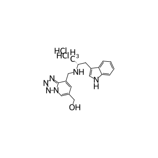 C[C@H](Cc1c[nH]c2ccccc12)NCc1cc(CO)cn2nnnc12.Cl.Cl